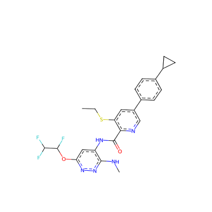 CCSc1cc(-c2ccc(C3CC3)cc2)cnc1C(=O)Nc1cc(OC(F)C(F)F)nnc1NC